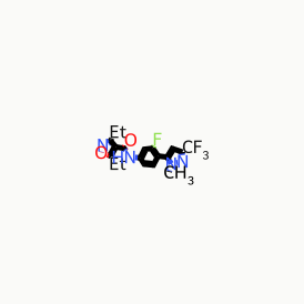 CCc1noc(CC)c1C(=O)Nc1ccc(-c2cc(C(F)(F)F)nn2C)c(F)c1